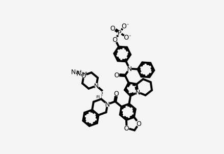 O=C(c1cc(-c2cc3c(cc2C(=O)N2Cc4ccccc4C[C@@H]2CN2CCOCC2)OCO3)n2c1CCCC2)N(c1ccccc1)c1ccc(OP(=O)([O-])[O-])cc1.[Na+].[Na+]